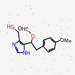 COc1ccc(CC(OC=O)c2[nH]cnc2CO)cc1